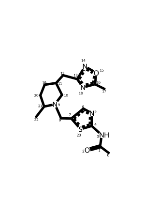 CC(=O)Nc1ncc(CN2CC(Cc3noc(C)n3)CCC2C)s1